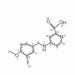 COc1ccc(CNc2ccnc(C(=O)O)c2)cc1F